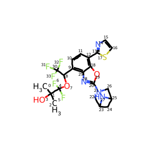 CC(C)(O)C(F)(F)OC(c1ccc(-c2nccs2)c2oc(N3CC4CC(C3)N4)nc12)C(F)(F)F